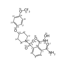 NC(=O)c1cccc(S(=O)(=O)N2CCC(Oc3ccc(OC(F)(F)F)cc3)CC2)c1C(=O)NO